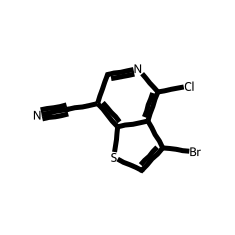 N#Cc1cnc(Cl)c2c(Br)csc12